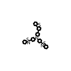 c1ccc2sc(-c3ccc(N(c4ccc(-c5ccc6sc7ccccc7c6c5)cc4)c4ccc(-c5nc6ccccc6s5)cc4)cc3)nc2c1